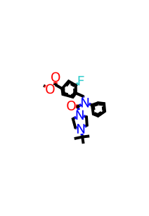 COC(=O)c1ccc(CN(C(=O)N2CCN(C(C)(C)C)CC2)c2ccccc2)c(F)c1